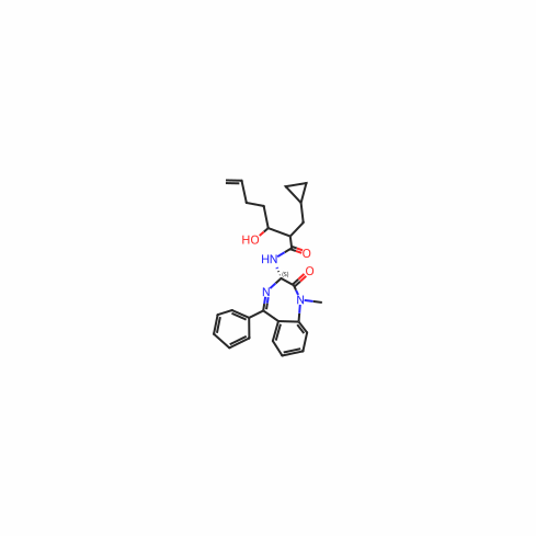 C=CCCC(O)C(CC1CC1)C(=O)N[C@H]1N=C(c2ccccc2)c2ccccc2N(C)C1=O